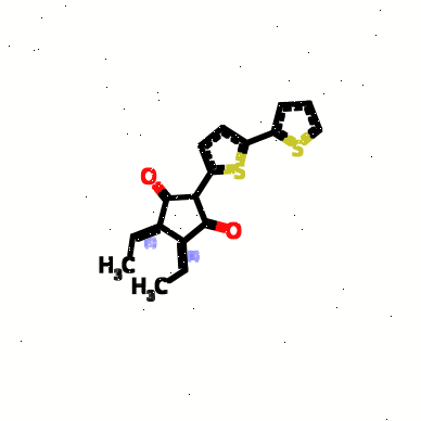 C/C=C1/C(=O)C(c2ccc(-c3cccs3)s2)C(=O)/C1=C/C